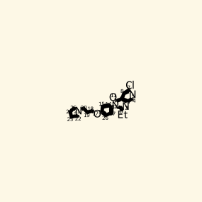 CCc1nc2cnc(Cl)cc2c(=O)n1-c1ccc(OCCCN2CCCC2)cc1